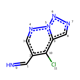 N=Cc1cnn2nncc2c1Cl